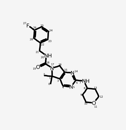 CC1(C)c2cnc(NC3CCOCC3)nc2CN1C(=O)NCc1cccc(F)c1